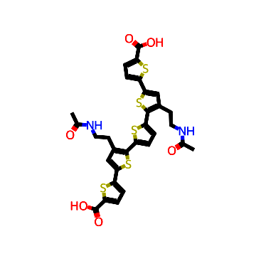 CC(=O)NCCc1cc(-c2ccc(C(=O)O)s2)sc1-c1ccc(-c2sc(-c3ccc(C(=O)O)s3)cc2CCNC(C)=O)s1